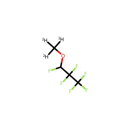 [2H]C([2H])([2H])OC(F)C(F)(F)C(F)(F)F